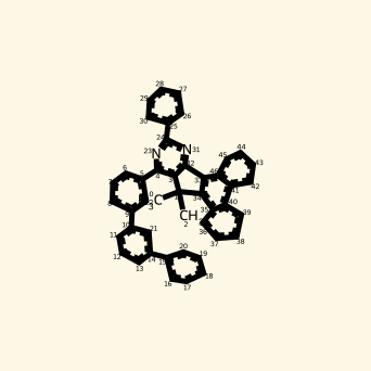 CC1(C)c2c(-c3cccc(-c4cccc(-c5ccccc5)c4)c3)nc(-c3ccccc3)nc2-c2c1c1ccccc1c1ccccc21